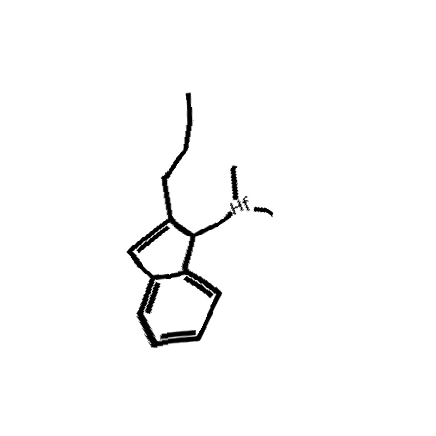 CCCC1=Cc2ccccc2[CH]1[Hf]([CH3])[CH3]